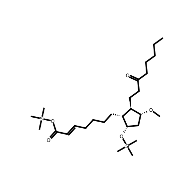 CCCCCC(=O)CC[C@@H]1[C@@H](CCCCC=CC(=O)O[Si](C)(C)C)[C@@H](O[Si](C)(C)C)C[C@H]1OC